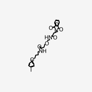 O=C(CCOCCNC(=O)CCN1C(=O)c2c(c3ccc2o3)C1=O)NCCCCOc1ccc(I)cc1